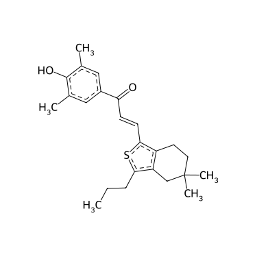 CCCc1sc(C=CC(=O)c2cc(C)c(O)c(C)c2)c2c1CC(C)(C)CC2